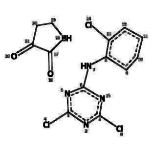 Clc1nc(Cl)nc(Nc2ccccc2Cl)n1.O=C1BCCC1=O